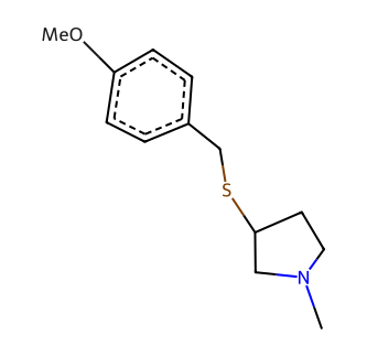 COc1ccc(CSC2CCN(C)C2)cc1